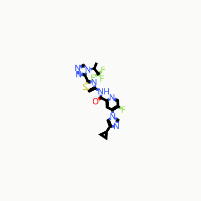 CC(n1cnnc1-c1nc(NC(=O)c2cc(-n3cnc(C4CC4)c3)c(F)cn2)cs1)C(F)(F)F